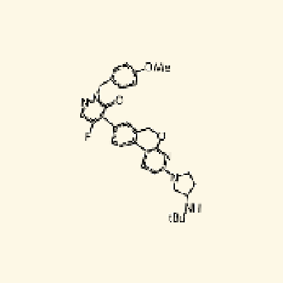 COc1ccc(Cn2ncc(F)c(-c3ccc4c(c3)COc3nc(N5CCC(NC(C)(C)C)C5)ccc3-4)c2=O)cc1